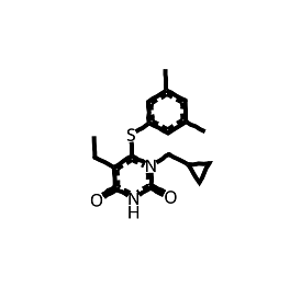 CCc1c(Sc2cc(C)cc(C)c2)n(CC2CC2)c(=O)[nH]c1=O